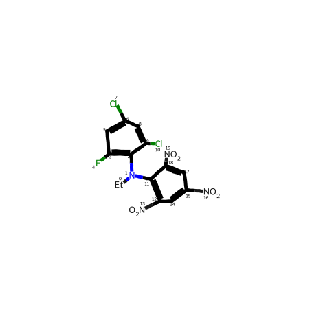 CCN(c1c(F)cc(Cl)cc1Cl)c1c([N+](=O)[O-])cc([N+](=O)[O-])cc1[N+](=O)[O-]